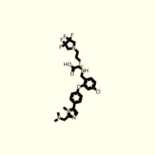 CN(C)Cc1ncc(-c2ccc(Oc3cc(Cl)ccc3CN[C@@H](CCCN3CC(F)(F)C(F)(F)C3)C(=O)O)cc2)n1C